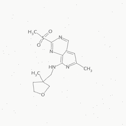 Cc1cc2cnc(S(C)(=O)=O)nc2c(NCC2(C)CCOC2)n1